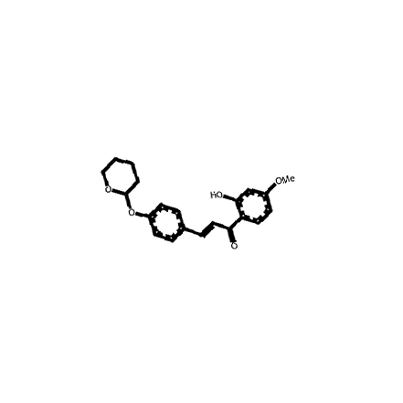 COc1ccc(C(=O)C=Cc2ccc(OC3CCCCO3)cc2)c(O)c1